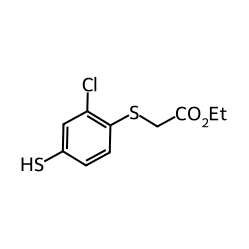 CCOC(=O)CSc1ccc(S)cc1Cl